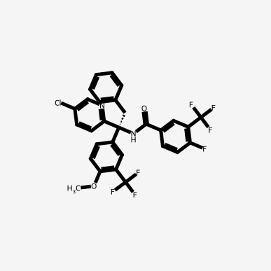 COc1ccc([C@](Cc2ccccc2)(NC(=O)c2ccc(F)c(C(F)(F)F)c2)c2ccc(Cl)cn2)cc1C(F)(F)F